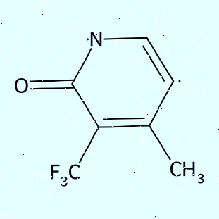 CC1=C(C(F)(F)F)C(=O)[N]C=[C]1